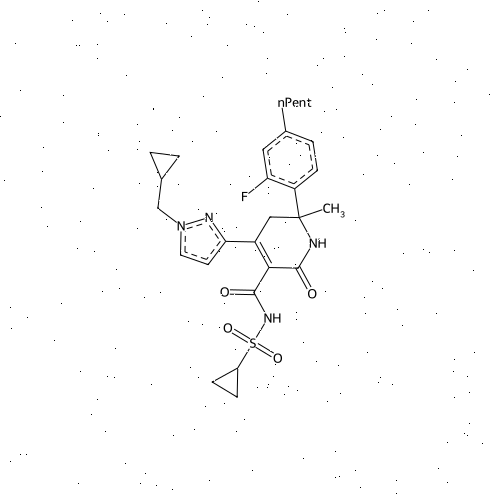 CCCCCc1ccc(C2(C)CC(c3ccn(CC4CC4)n3)=C(C(=O)NS(=O)(=O)C3CC3)C(=O)N2)c(F)c1